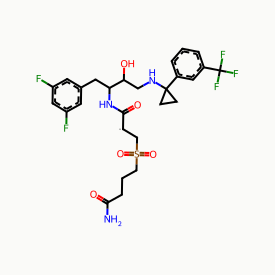 NC(=O)CCCS(=O)(=O)C[CH]C(=O)NC(Cc1cc(F)cc(F)c1)C(O)CNC1(c2cccc(C(F)(F)F)c2)CC1